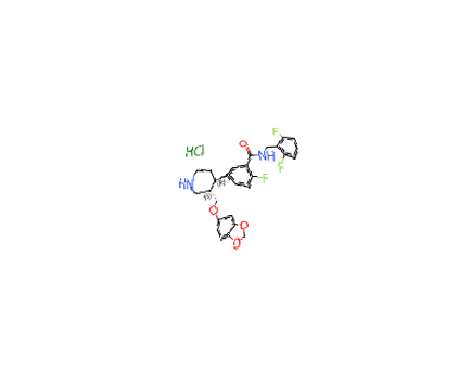 Cl.O=C(NCc1c(F)cccc1F)c1cc([C@@H]2CCNC[C@H]2COc2ccc3c(c2)OCO3)ccc1F